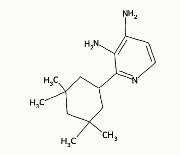 CC1(C)CC(c2nccc(N)c2N)CC(C)(C)C1